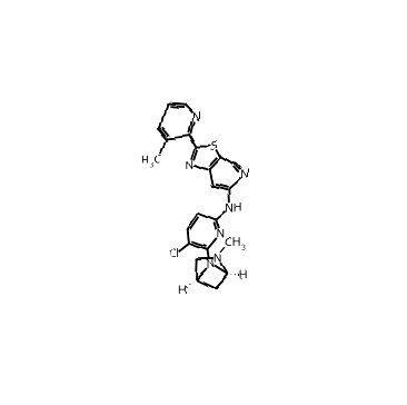 Cc1cccnc1-c1nc2cc(Nc3ccc(Cl)c(N4[C@H]5C[C@@H]4N(C)C5)n3)ncc2s1